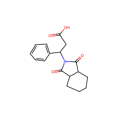 O=C(O)CC(c1ccccc1)N1C(=O)C2CCCCC2C1=O